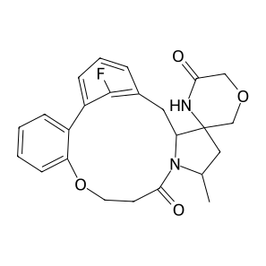 CC1CC2(COCC(=O)N2)C2Cc3cccc(c3F)-c3ccccc3OCCC(=O)N12